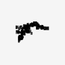 CCc1nc2sc(N3CC4(CCN(CC(=O)N5CC(O)C5)C4)C3)nn2c1N(C)c1nc(-c2ccc(F)cc2)c(C#N)s1